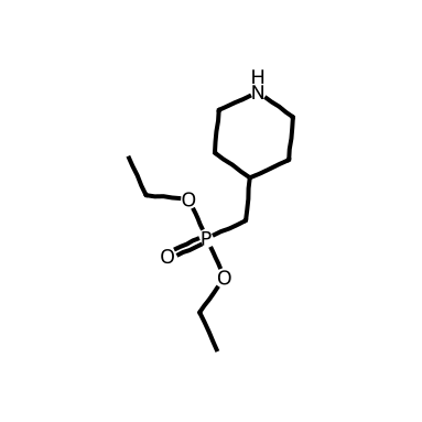 CCOP(=O)(CC1CCNCC1)OCC